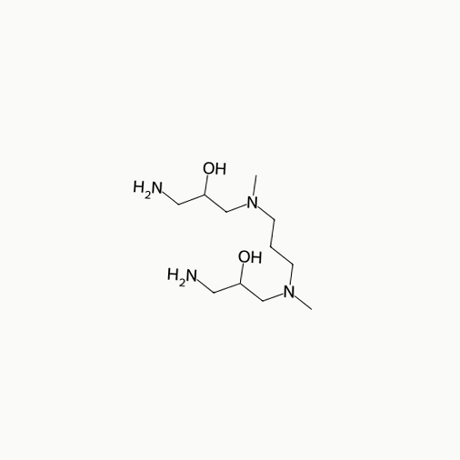 CN(CCCN(C)CC(O)CN)CC(O)CN